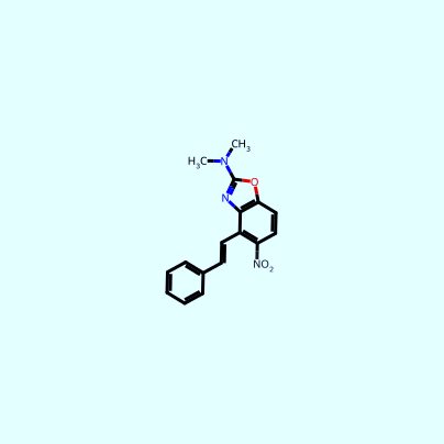 CN(C)c1nc2c(C=Cc3ccccc3)c([N+](=O)[O-])ccc2o1